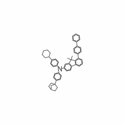 CC1(C)c2cc(N(c3ccc(C4CCCCC4)cc3)c3ccc(C45CCC(CC4)C5)cc3)ccc2-c2cccc(-c3ccc(-c4ccccc4)cc3)c21